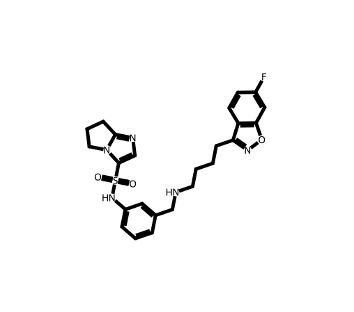 O=S(=O)(Nc1cccc(CNCCCCc2noc3cc(F)ccc23)c1)c1cnc2n1CCC2